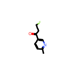 Cc1ccc(C(=O)CCF)cn1